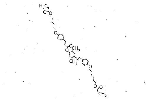 C=CC(=O)OCCCCCCOc1ccc(/C=C/C(=O)Oc2cc(C)c(/N=C/c3ccc(OCCCCCCOC(=O)C=C)cc3)cc2C)cc1